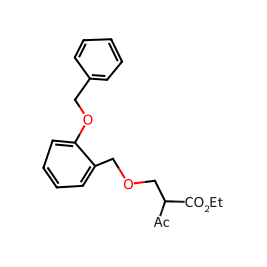 CCOC(=O)C(COCc1ccccc1OCc1ccccc1)C(C)=O